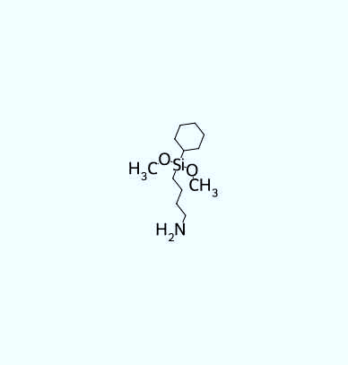 CO[Si](CCCCN)(OC)C1CCCCC1